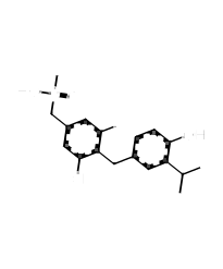 CC(C)c1cc(Cc2c(Cl)cc(CP(C)(=O)O)cc2Cl)ccc1O